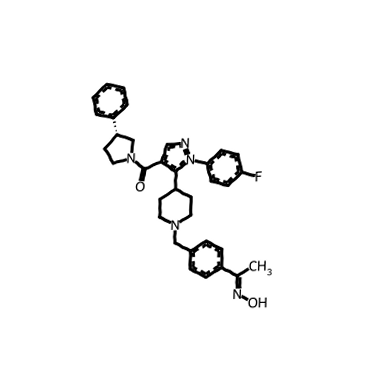 C/C(=N\O)c1ccc(CN2CCC(c3c(C(=O)N4CC[C@H](c5ccccc5)C4)cnn3-c3ccc(F)cc3)CC2)cc1